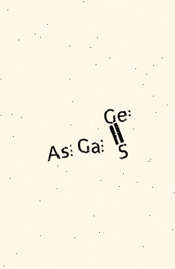 [As].[Ga].[S]=[Ge]